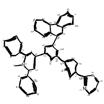 CN1C(c2ccccc2)=CC(c2cc(-c3ccc(-c4ncccn4)cc3)cc(-c3cc4ccccc4c4ccccc34)c2)=CC1c1ccccc1